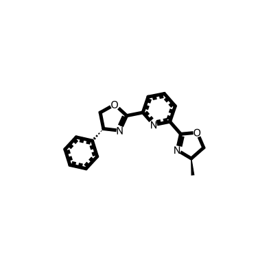 C[C@@H]1COC(c2cccc(C3=N[C@H](c4ccccc4)CO3)n2)=N1